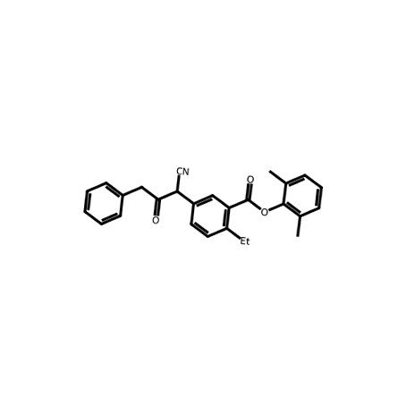 CCc1ccc(C(C#N)C(=O)Cc2ccccc2)cc1C(=O)Oc1c(C)cccc1C